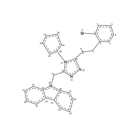 Brc1ccccc1CSc1nnc(Cn2c3ccccc3c3ccccc32)n1-c1ccccc1